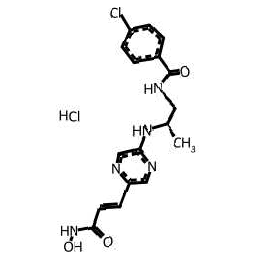 C[C@H](CNC(=O)c1ccc(Cl)cc1)Nc1cnc(/C=C/C(=O)NO)cn1.Cl